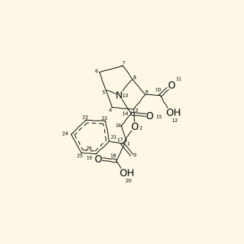 C=C(OC1CC2CCC(C1C(=O)O)N2C(=O)CCC(=O)O)c1ccccc1